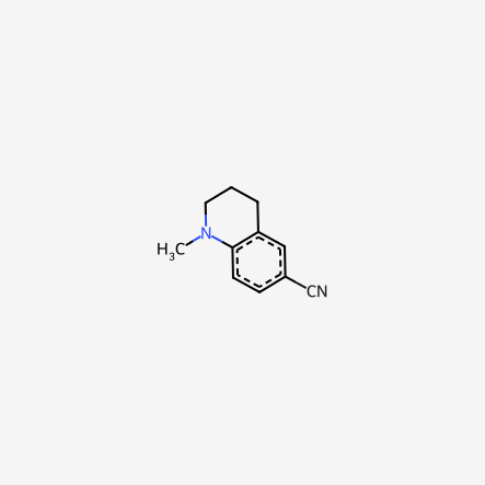 CN1CCCc2cc(C#N)ccc21